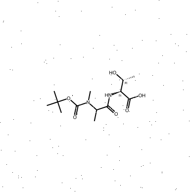 CC(C(=O)N[C@H](C(=O)O)[C@@H](C)O)N(C)C(=O)OC(C)(C)C